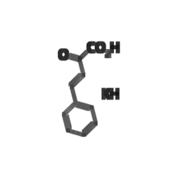 O=C(O)C(=O)C=Cc1ccccc1.[KH]